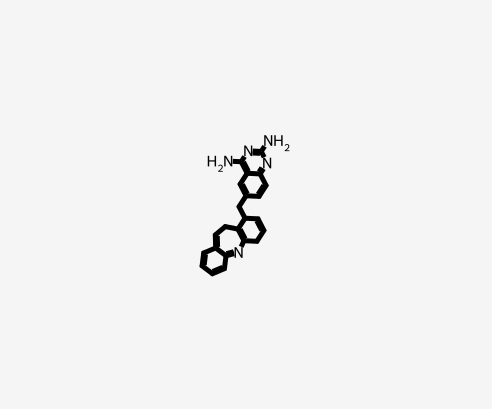 Nc1nc(N)c2cc(CC3C=CCC4=C3CC=c3ccccc3=N4)ccc2n1